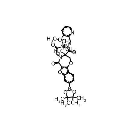 COc1cccnc1CNC(=O)C1(C)COc2c(oc3cc(B4OC(C)(C)C(C)(C)O4)ccc23)C(=O)N1CC(=O)N(C)C